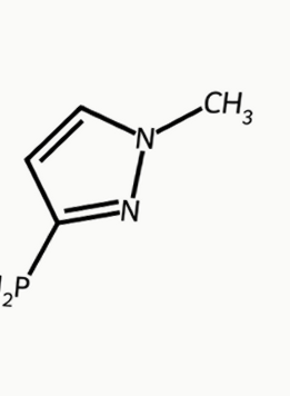 Cn1ccc(P)n1